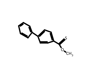 COC(=S)c1ccc(-c2ccccc2)cc1